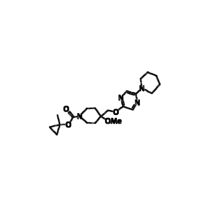 COC1(COc2cnc(N3CCCCC3)cn2)CCN(C(=O)OC2(C)CC2)CC1